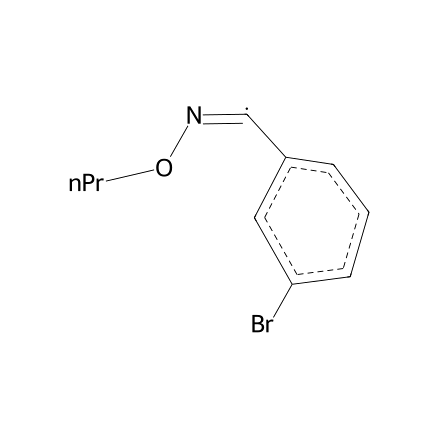 CCCO/N=[C]\c1cccc(Br)c1